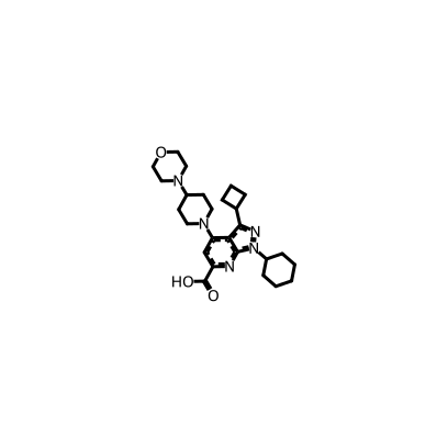 O=C(O)c1cc(N2CCC(N3CCOCC3)CC2)c2c(C3CCC3)nn(C3CCCCC3)c2n1